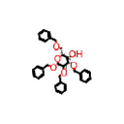 O[C@@H]1[C@H](OCc2ccccc2)[C@@H](OCc2ccccc2)[C@@H](OCc2ccccc2)O[C@@H]1COCc1ccccc1